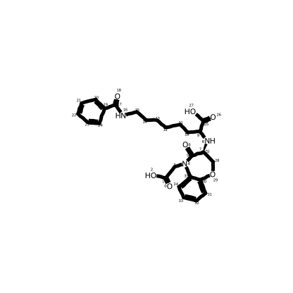 O=C(O)CN1C(=O)[C@@H](NC(CCCCCCNC(=O)c2ccccc2)C(=O)O)COc2ccccc21